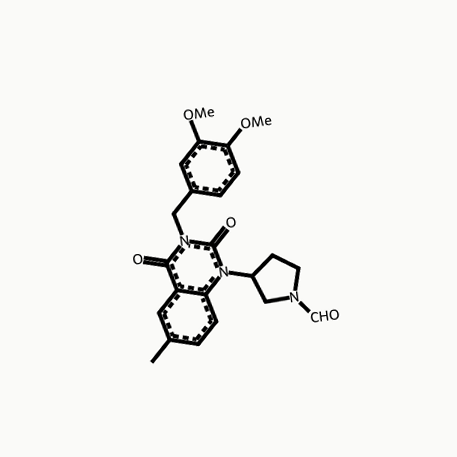 COc1ccc(Cn2c(=O)c3cc(C)ccc3n(C3CCN(C=O)C3)c2=O)cc1OC